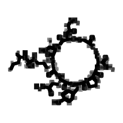 CCCC(C)NC(=N)NCCC[C@@H]1NC(=O)[C@H]([C@@H](C)O)NC(=O)[C@@H](NC(=O)CN)CSCC(=O)CSC[C@@H](C(N)=O)NC(=O)[C@@H]2CCCN2C(=O)[C@H](Cc2ccc(O)cc2)NC(=O)[C@H](CCC(N)=O)NC1=O